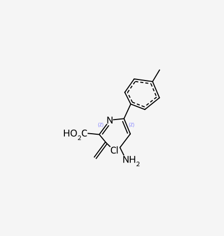 C=C(Cl)/C(=N\C(=C/CN)c1ccc(C)cc1)C(=O)O